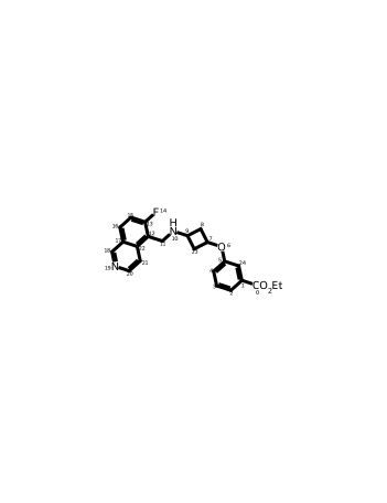 CCOC(=O)c1cccc(OC2CC(NCc3c(F)ccc4cnccc34)C2)c1